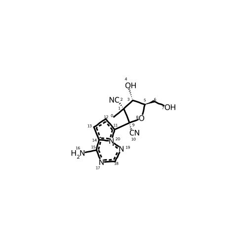 C[C@@]1(C#N)[C@H](O)[C@@H](CO)O[C@@]1(C#N)c1ccc2c(N)ncnn12